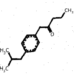 CCCC(=O)Cc1ccc(CC(C)C)cc1